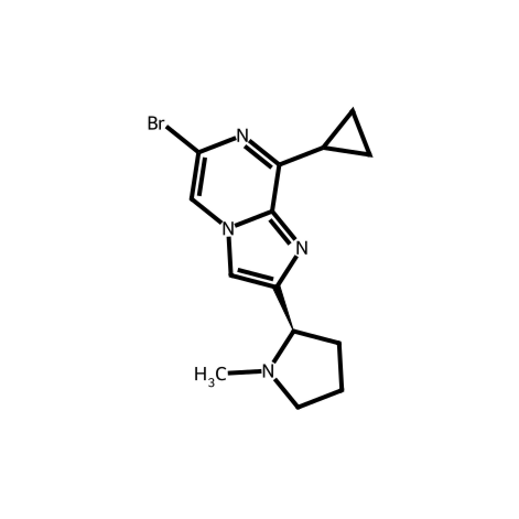 CN1CCC[C@@H]1c1cn2cc(Br)nc(C3CC3)c2n1